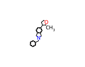 CC1OCCC1c1ccc2c(c1)CN(Cc1ccccc1)C2